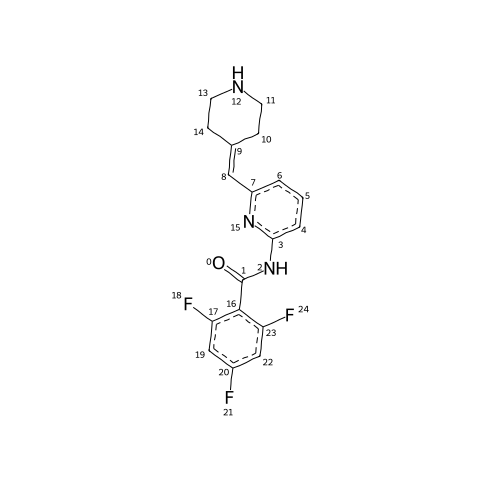 O=C(Nc1cccc(C=C2CCNCC2)n1)c1c(F)cc(F)cc1F